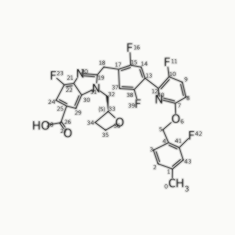 Cc1ccc(COc2ccc(F)c(-c3cc(F)c(Cc4nc5c(F)cc(C(=O)O)cc5n4C[C@@H]4CCO4)cc3F)n2)c(F)c1